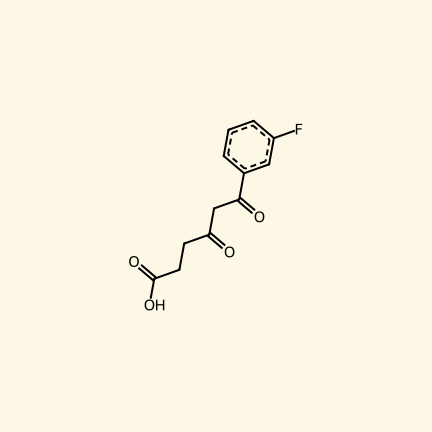 O=C(O)CCC(=O)CC(=O)c1cccc(F)c1